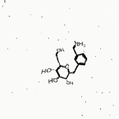 NCc1cccc(C[C@@H]2O[C@H](CO)[C@@H](O)[C@H](O)[C@H]2O)c1